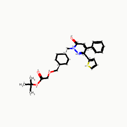 CC(C)(C)OC(=O)COC[C@H]1CC[C@H](Cn2nc(-c3cccs3)c(-c3ccccc3)cc2=O)CC1